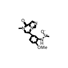 COc1ccc(-c2cn(C)c(=O)c3cncn23)cc1N[S+](C)[O-]